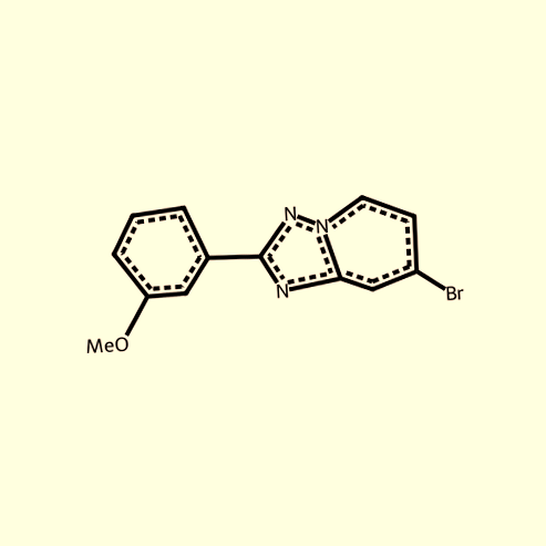 COc1cccc(-c2nc3cc(Br)ccn3n2)c1